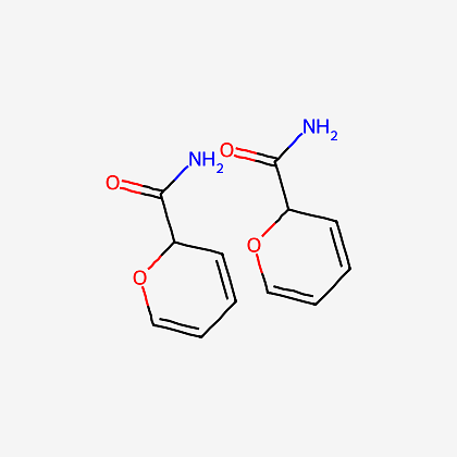 NC(=O)C1C=CC=CO1.NC(=O)C1C=CC=CO1